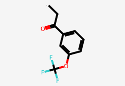 [CH2]CC(=O)c1cccc(OC(F)(F)F)c1